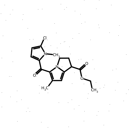 CCOC(=O)C1CCn2c1cc(C)c2C(=O)c1ccc(Cl)n1C